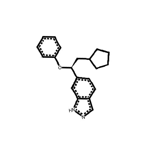 [c]1ccccc1O[C@@H](CC1CCCC1)c1ccc2cn[nH]c2c1